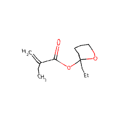 C=C(C)C(=O)OC1(CC)CCO1